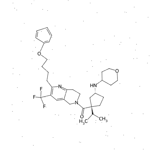 CC(C)[C@]1(C(=O)N2CCc3nc(CCCCOc4ccccc4)c(C(F)(F)F)cc3C2)CC[C@@H](NC2CCOCC2)C1